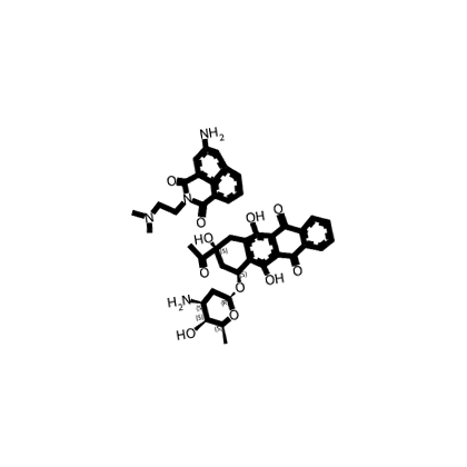 CC(=O)[C@]1(O)Cc2c(O)c3c(c(O)c2[C@@H](O[C@H]2C[C@H](N)[C@H](O)[C@H](C)O2)C1)C(=O)c1ccccc1C3=O.CN(C)CCN1C(=O)c2cccc3cc(N)cc(c23)C1=O